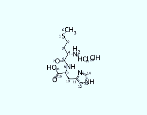 CSCC[C@H](N)C(=O)N[C@@H](Cc1c[nH]cn1)C(=O)O.Cl.Cl